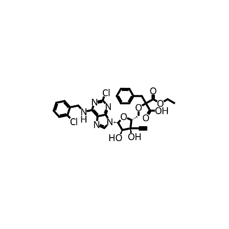 C#C[C@@]1(O)[C@@H](COC(Cc2ccccc2)(C(=O)O)C(=O)OCC)O[C@@H](n2cnc3c(NCc4ccccc4Cl)nc(Cl)nc32)[C@@H]1O